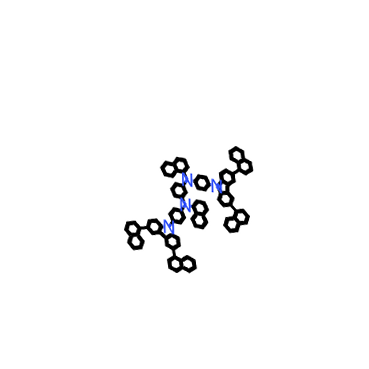 c1cc(N(c2ccc(-n3c4ccc(-c5cccc6ccccc56)cc4c4cc(-c5cccc6ccccc56)ccc43)cc2)c2cccc3ccccc23)cc(N(c2ccc(-n3c4ccc(-c5cccc6ccccc56)cc4c4cc(-c5cccc6ccccc56)ccc43)cc2)c2cccc3ccccc23)c1